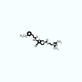 COc1cccc(CCC(=O)Nc2sc3c(c2C#N)CCN(C(=O)OCCn2cc(C)nc2C)C3)c1